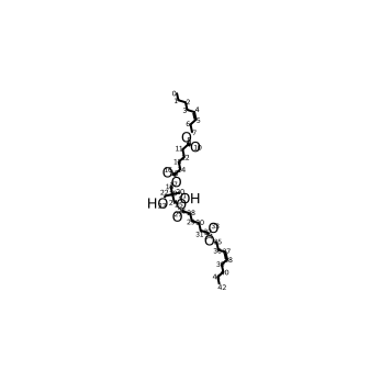 CCCC/C=C\CCOC(=O)CCCCC(=O)OCC(CO)(CO)COC(=O)CCCCC(=O)OCC/C=C\CCCC